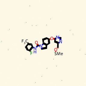 CSOCc1cc(Oc2ccc3c(ccn3C(=O)Nc3cc(C(F)(F)F)ccc3F)c2)ncn1